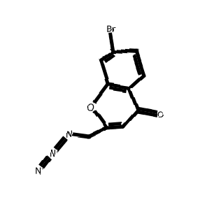 [N-]=[N+]=NCc1cc(=O)c2ccc(Br)cc2o1